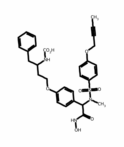 CC#CCOc1ccc(S(=O)(=O)N(C)C(C(=O)NO)c2ccc(OCCC(Cc3ccccc3)NC(=O)O)cc2)cc1